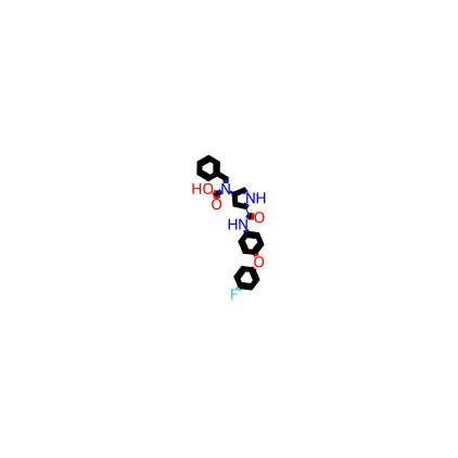 O=C(Nc1ccc(Oc2ccc(F)cc2)cc1)[C@@H]1C[C@@H](N(Cc2ccccc2)C(=O)O)CN1